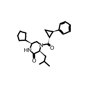 CC(C)C[C@H]1C(=O)N[C@@H](C2CCCC2)CN1C(=O)[C@@H]1C[C@H]1c1ccccc1